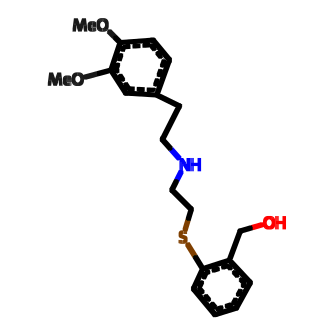 COc1ccc(CCNCCSc2ccccc2CO)cc1OC